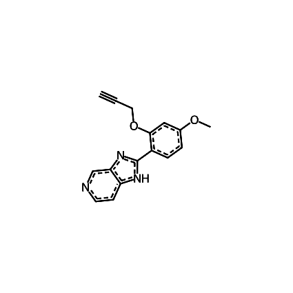 C#CCOc1cc(OC)ccc1-c1nc2cnccc2[nH]1